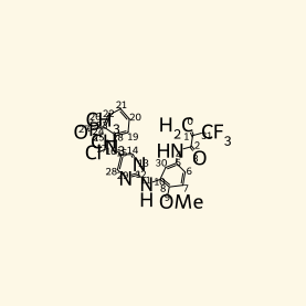 C=C(C(=O)Nc1ccc(OC)c(Nc2ncc(N(Cl)c3ccccc3P(C)(C)=O)cn2)c1)C(F)(F)F